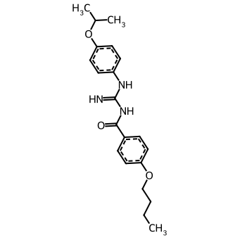 CCCCOc1ccc(C(=O)NC(=N)Nc2ccc(OC(C)C)cc2)cc1